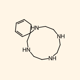 C1=CCC2(C=C1)CNCCNCCNCCN2